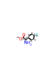 COC(=O)[C@H](N)c1ccc(F)cc1